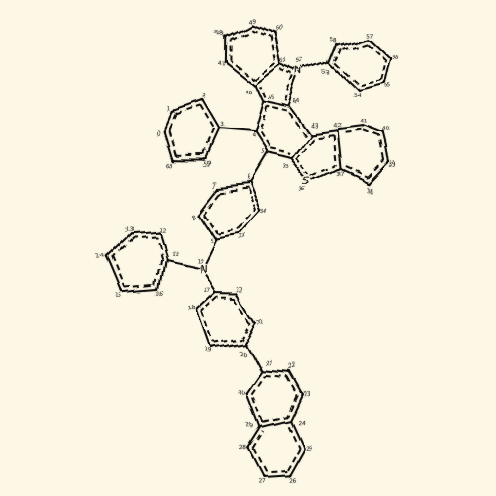 c1ccc(-c2c(-c3ccc(N(c4ccccc4)c4ccc(-c5ccc6ccccc6c5)cc4)cc3)c3sc4ccccc4c3c3c2c2ccccc2n3-c2ccccc2)cc1